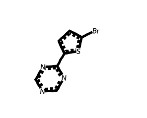 Brc1ccc(-c2ncncn2)s1